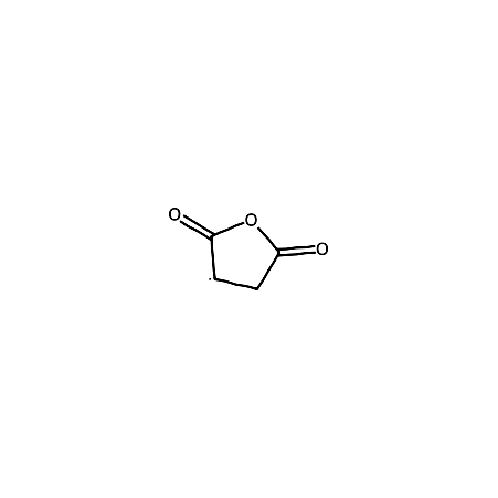 O=C1[CH]CC(=O)O1